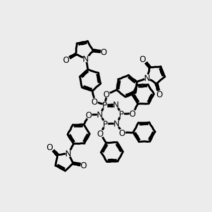 O=C1C=CC(=O)N1c1ccc(ON2P(Oc3ccccc3)N(Oc3ccccc3)P(Oc3ccccc3)N=P2(Oc2ccc(N3C(=O)C=CC3=O)cc2)Oc2ccc(N3C(=O)C=CC3=O)cc2)cc1